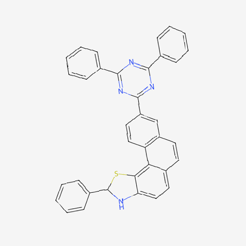 c1ccc(-c2nc(-c3ccccc3)nc(-c3ccc4c(ccc5ccc6c(c54)SC(c4ccccc4)N6)c3)n2)cc1